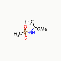 COC(C)NS(C)(=O)=O